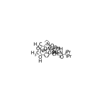 CC[C@H](C)[C@@H]([C@@H](CC(=O)N1CCC[C@H]1[C@H](OC)[C@@H](C)C(=O)N[C@H](C)[C@@H](O)c1ccccc1)OC)N(C)C(=O)CNC(=O)C(C(C)C)C(C)C